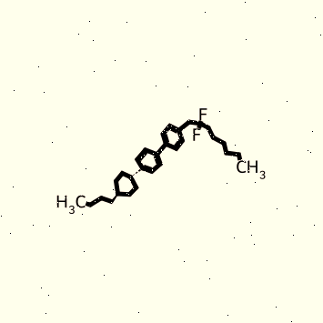 CCCCCCC(F)(F)Cc1ccc(-c2ccc([C@H]3CC[C@H](CCCC)CC3)cc2)cc1